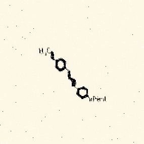 CC=C[C@H]1CC[C@H](CCC=C[C@H]2CC[C@H](CCCCC)CC2)CC1